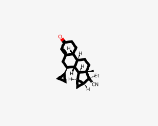 CC[C@]1(C#N)[C@H]2C[C@H]2[C@H]2[C@H]3[C@H](CC[C@@]21C)[C@H]1CCC(=O)C=C1C[C@@H]3C1CC1